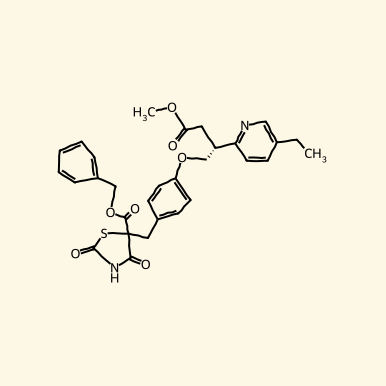 CCc1ccc([C@H](COc2ccc(CC3(C(=O)OCc4ccccc4)SC(=O)NC3=O)cc2)CC(=O)OC)nc1